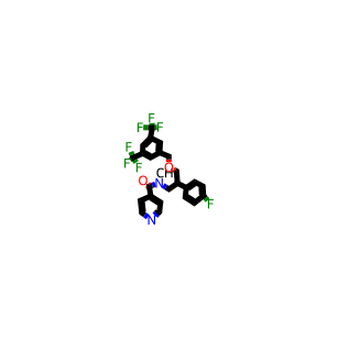 CN(CC(COCc1cc(C(F)(F)F)cc(C(F)(F)F)c1)c1ccc(F)cc1)C(=O)c1ccncc1